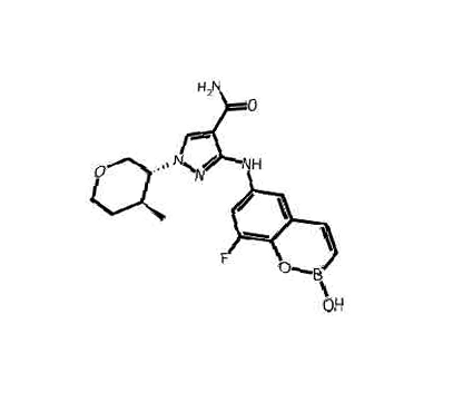 C[C@H]1CCOC[C@@H]1n1cc(C(N)=O)c(Nc2cc(F)c3c(c2)C=CB(O)O3)n1